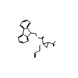 C=CCC[C@]1(C(=O)OCC2c3ccccc3-c3ccccc32)C[C@]1(N)C(=O)O